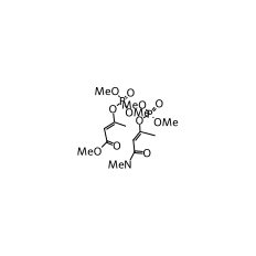 CNC(=O)/C=C(\C)OP(=O)(OC)OC.COC(=O)/C=C(\C)OP(=O)(OC)OC